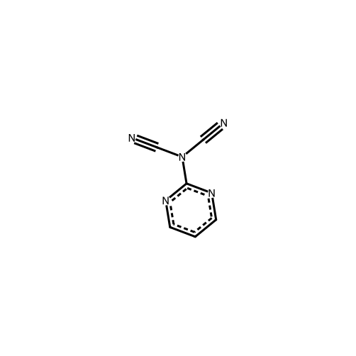 N#CN(C#N)c1ncccn1